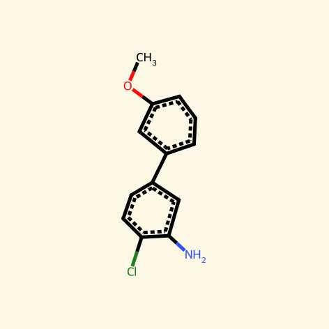 COc1cccc(-c2ccc(Cl)c(N)c2)c1